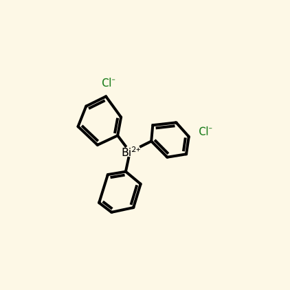 [Cl-].[Cl-].c1cc[c]([Bi+2]([c]2ccccc2)[c]2ccccc2)cc1